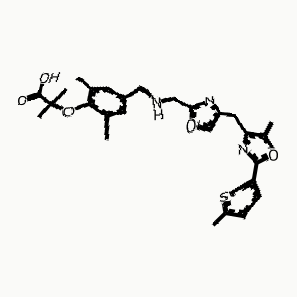 Cc1ccc(-c2nc(Cc3coc(CNCc4cc(C)c(OC(C)(C)C(=O)O)c(C)c4)n3)c(C)o2)s1